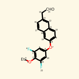 CCOc1c(F)cc(Oc2ccc3cc(CC=O)ccc3c2)cc1F